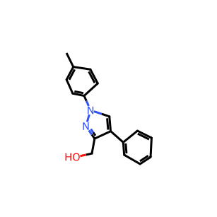 Cc1ccc(-n2cc(-c3ccccc3)c(CO)n2)cc1